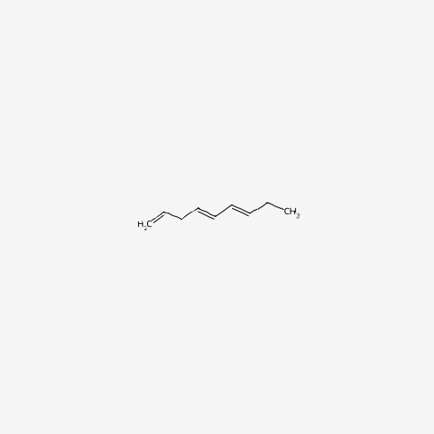 C=CCC=CC=CCC